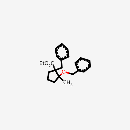 CCOC(=O)C1(Cc2ccccc2)CCCC1(C)OCc1ccccc1